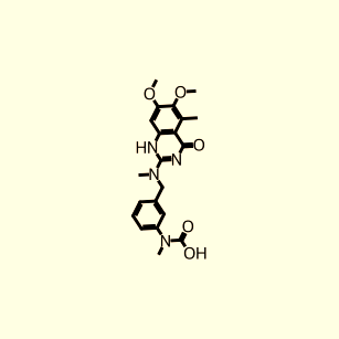 COc1cc2[nH]c(N(C)Cc3cccc(N(C)C(=O)O)c3)nc(=O)c2c(C)c1OC